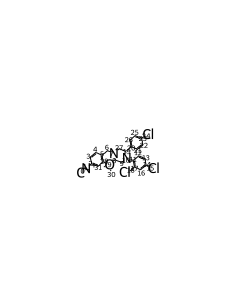 [C-]#[N+]c1ccc(CN2CCN(c3ccc(Cl)cc3Cl)[C@H](c3ccc(Cl)cc3)C2)c(OC)c1